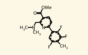 COC(=O)c1ccc(-c2cc(F)c(C)c(F)c2F)nc1CN(C)C